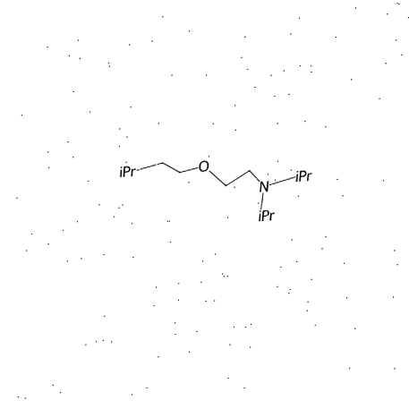 CC(C)CCOCCN(C(C)C)C(C)C